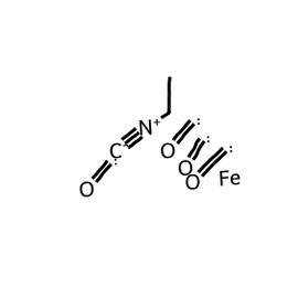 [C-]#[N+]CC.[C]=O.[C]=O.[C]=O.[C]=O.[Fe]